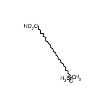 C[Si](C)(Cl)CCCCCCCCCCCCCCCCCCCCCCCCCCCC(=O)O